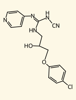 N#CNC(=Nc1ccncc1)NCC(O)COc1ccc(Cl)cc1